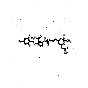 CC1(C)OC(CCNC(=O)Nc2snc(OCc3c(F)cc(Br)cc3F)c2C(N)=O)C[C@H](CC(=O)O)O1